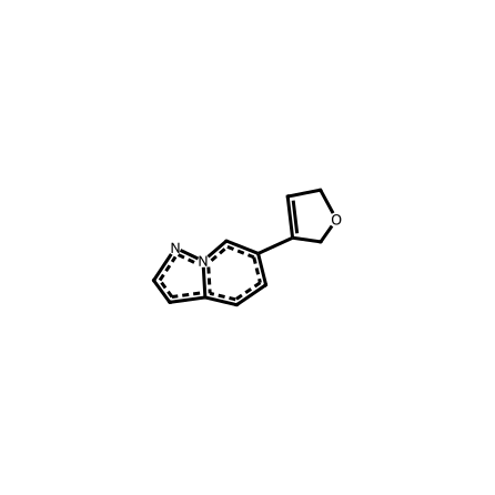 C1=C(c2ccc3ccnn3c2)COC1